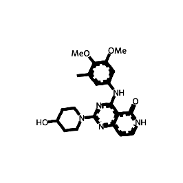 COc1cc(Nc2nc(N3CCC(O)CC3)nc3cc[nH]c(=O)c23)cc(C)c1OC